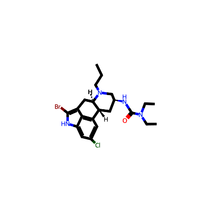 CCCN1C[C@@H](NC(=O)N(CC)CC)C[C@@H]2c3cc(Cl)cc4[nH]c(Br)c(c34)C[C@H]21